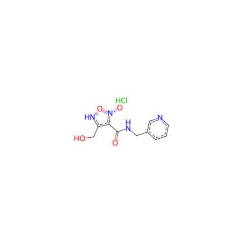 Cl.O=C(NCc1cccnc1)c1c(CO)[nH]o[n+]1=O